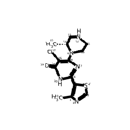 Cc1ncsc1-c1nc(N2CCNC[C@H]2C)c(Cl)c(=O)[nH]1